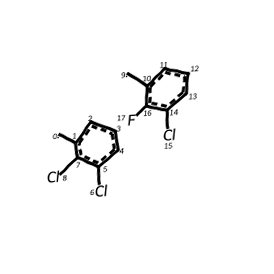 [CH2]c1cccc(Cl)c1Cl.[CH2]c1cccc(Cl)c1F